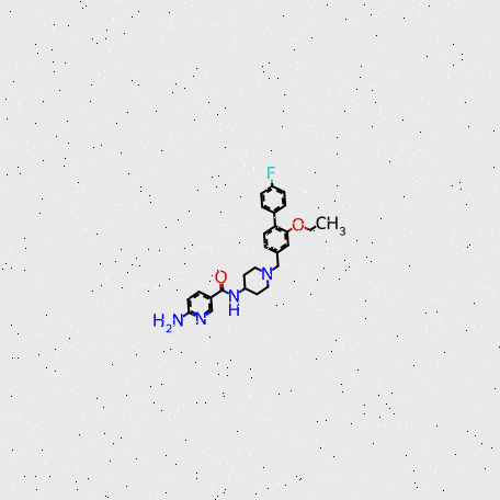 CCOc1cc(CN2CCC(NC(=O)c3ccc(N)nc3)CC2)ccc1-c1ccc(F)cc1